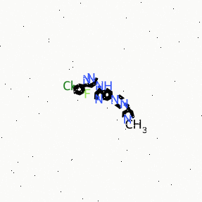 CN1CCC(CN2CCN(c3ccc4c(Nc5cnnc(-c6cc(Cl)ccc6F)c5)ccnc4c3)CC2)CC1